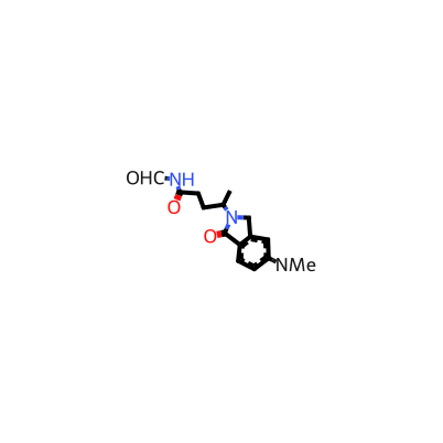 CNc1ccc2c(c1)CN(C(C)CCC(=O)NC=O)C2=O